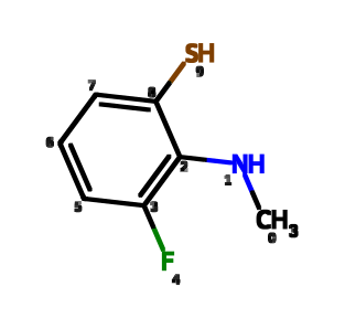 CNc1c(F)cccc1S